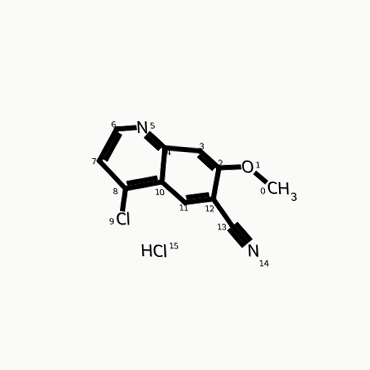 COc1cc2nccc(Cl)c2cc1C#N.Cl